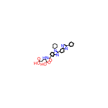 O=C(O)CCC(NC(=O)c1ccc2c(c1)nc(-c1ccc3nc(-c4ccccc4)cnc3c1)n2C1CCCCC1)C(=O)O